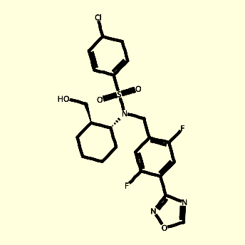 O=S(=O)(C1=CCC(Cl)C=C1)N(Cc1cc(F)c(-c2ncon2)cc1F)[C@@H]1CCCC[C@H]1CO